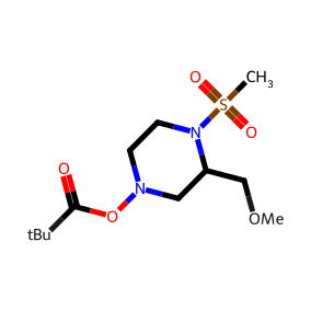 COCC1CN(OC(=O)C(C)(C)C)CCN1S(C)(=O)=O